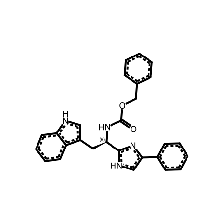 O=C(N[C@H](Cc1c[nH]c2ccccc12)c1nc(-c2ccccc2)c[nH]1)OCc1ccccc1